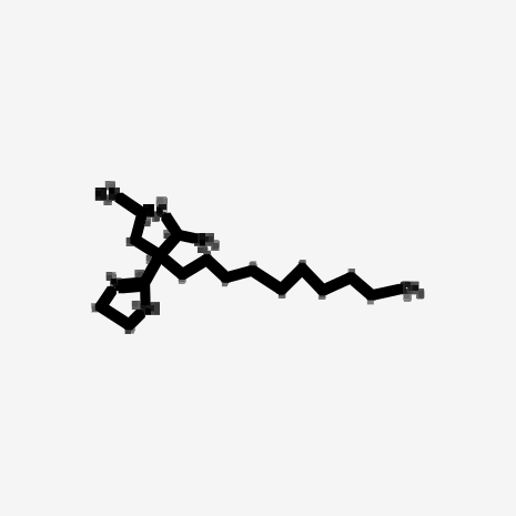 CCCCCCCCCCC(CCN)(C1=NCCN1)C(C)N